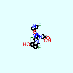 CCc1c(F)ccc2cc(O)cc(-c3ncc4c(N5CCC(C)(C(=O)O)CC5)nc(OC[C@@]56CCCN5C[C@H](F)C6)nc4c3F)c12